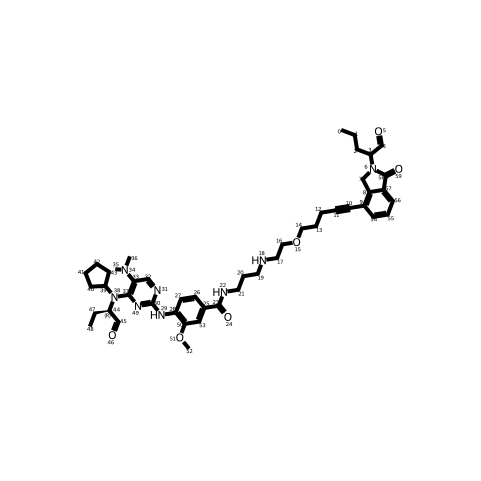 CCCC(C=O)N1Cc2c(C#CCCCOCCNCCCNC(=O)c3ccc(Nc4ncc(N(C)C)c(N(C5CCCC5)[C@@H](C=O)CC)n4)c(OC)c3)cccc2C1=O